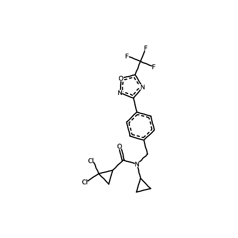 O=C(C1CC1(Cl)Cl)N(Cc1ccc(-c2noc(C(F)(F)F)n2)cc1)C1CC1